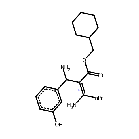 CCC/C(N)=C(\C(=O)OCC1CCCCC1)C(N)c1cccc(O)c1